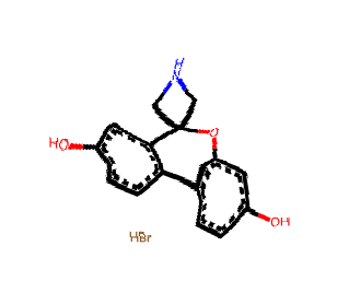 Br.Oc1ccc2c(c1)OC1(CNC1)c1cc(O)ccc1-2